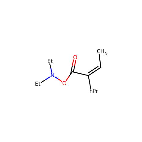 CC=C(CCC)C(=O)ON(CC)CC